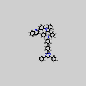 c1ccc(-c2cc(-c3ccccc3)nc(-c3ccc(-c4ccc(N5c6ccccc6-c6c(n(-c7cccc(-c8ccc9ccccc9n8)c7)c7ccccc67)-c6ccccc65)cc4)cc3)n2)cc1